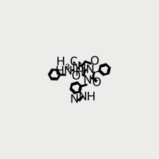 CN(C(=O)NCc1ccccc1)N1CC(=O)N2[C@@H](c3ccccc3)C(=O)N(Cc3cccc4nc[nH]c34)C[C@@H]21